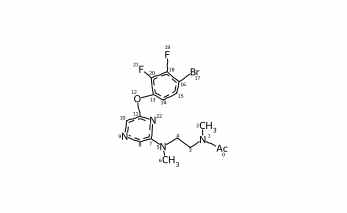 CC(=O)N(C)CCN(C)c1cncc(Oc2ccc(Br)c(F)c2F)n1